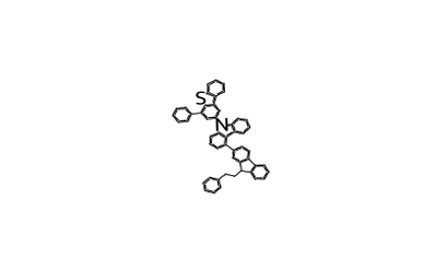 c1ccc(CCC2c3ccccc3-c3ccc(-c4cccc5c4c4ccccc4n5-c4cc(-c5ccccc5)c5sc6ccccc6c5c4)cc32)cc1